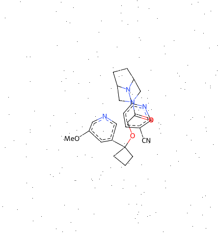 COc1cncc(C2(OCC(=O)N3CC4CCC(C3)N4c3ccc(C#N)cn3)CCC2)c1